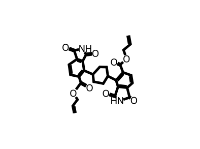 C=CCOC(=O)c1ccc2c(c1C1CCC(c3c(C(=O)OCC=C)ccc4c3C(=O)NC4=O)CC1)C(=O)NC2=O